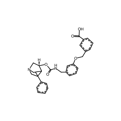 O=C(NCc1cccc(OCc2cccc(C(=O)O)c2)c1)O[C@H]1CN2CCC1C(c1ccccc1)C2